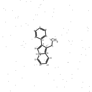 CCc1c(-c2ccccc2)cn2ccccc12